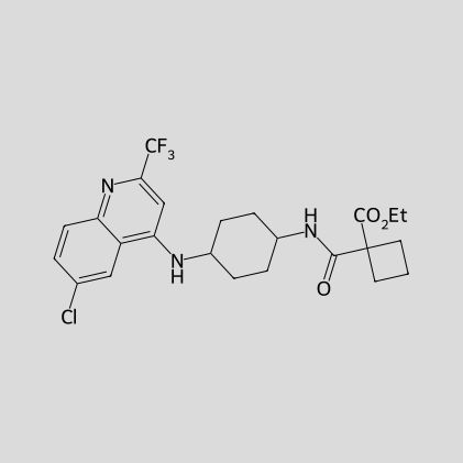 CCOC(=O)C1(C(=O)NC2CCC(Nc3cc(C(F)(F)F)nc4ccc(Cl)cc34)CC2)CCC1